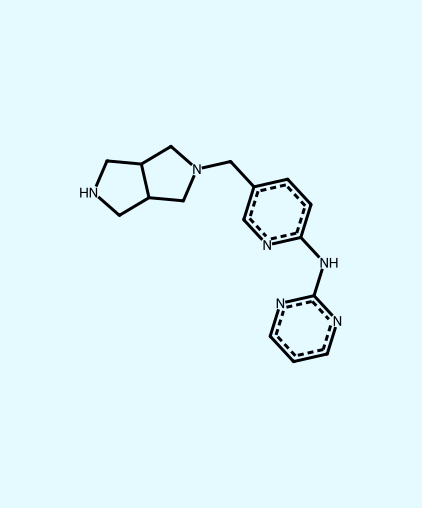 c1cnc(Nc2ccc(CN3CC4CNCC4C3)cn2)nc1